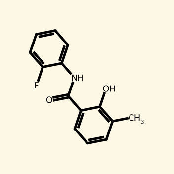 Cc1cccc(C(=O)Nc2ccccc2F)c1O